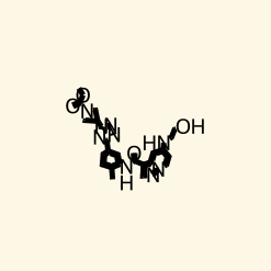 COC(=O)N1CC(n2nnc(-c3ccc(C)c(NC(=O)c4cnn5ccc(NCCO)cc45)c3)n2)C1